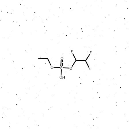 CCOP(=O)(O)OC(F)C(F)F